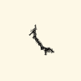 CCCCCC(C)(C)c1cc(CC(=O)OC(COc2ccc(C(C)(C)c3ccc(OCC(CSC)OC(=O)Cc4cc(C(C)(C)CCCCC)c(O)c(C(C)(C)CCCCC)c4)cc3)cc2)CSC)cc(C(C)(C)CCCCC)c1O